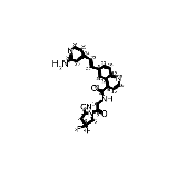 N#CC1CC(F)(F)CN1C(=O)CNC(=O)c1ccnc2ccc(/C=C/c3ccnc(N)c3)cc12